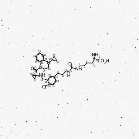 N[C@H](CCCCNC(=O)NCCCc1ccc(Cl)c(CNC2(C(=O)N3CCN(C4CC4)c4ccccc43)CC2)c1)C(=O)O